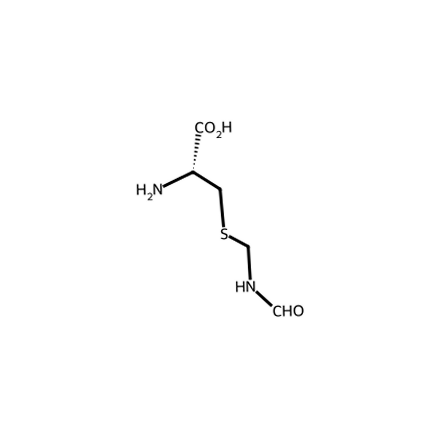 N[C@@H](CSCNC=O)C(=O)O